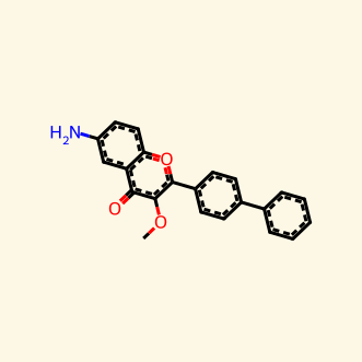 COc1c(-c2ccc(-c3ccccc3)cc2)oc2ccc(N)cc2c1=O